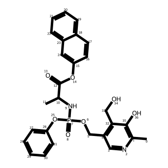 Cc1ncc(COP(=O)(NC(C)C(=O)Oc2ccc3ccccc3c2)Oc2ccccc2)c(CO)c1O